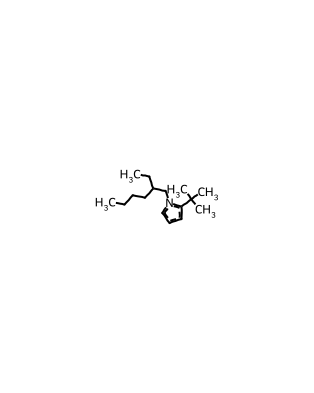 CCCCC(CC)Cn1cccc1C(C)(C)C